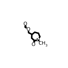 CN1CCCC(COC=O)CC1=O